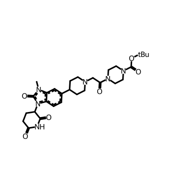 Cn1c(=O)n(C2CCC(=O)NC2=O)c2ccc(C3CCN(CC(=O)N4CCN(C(=O)OC(C)(C)C)CC4)CC3)cc21